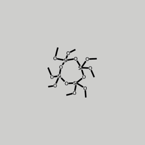 CO[Si]1(OC)O[Si](OC)(OC)O[Si](OC)(OC)O[Si](OC)(OC)O1